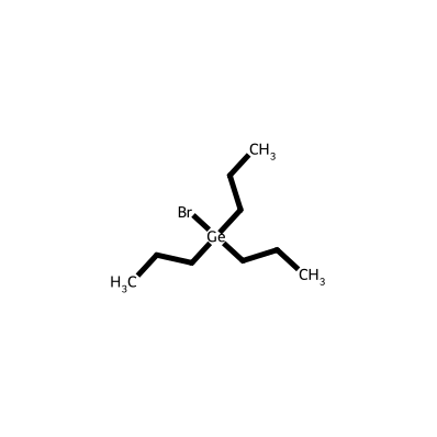 CC[CH2][Ge]([Br])([CH2]CC)[CH2]CC